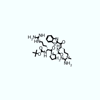 CN(CCC[C@H](NC(=O)[C@@H]1CCCN1C(=O)[C@@H](CCCNC(=N)N)NC(=O)OC(C)(C)C)C(=O)c1nc2ccccc2s1)C(N)N